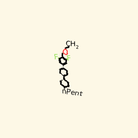 C=CCOCc1c(F)cc([C@H]2CC[C@H]([C@H]3CC[C@H](CCCCC)CC3)CC2)cc1F